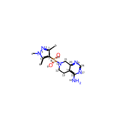 Cc1nn(C)c(C)c1S(=O)(=O)N1CCc2c(N)ncnc2C1